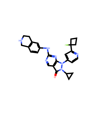 O=c1c2cnc(Nc3ccc4c(c3)CCNC4)nc2n(-c2ccnc(C3(F)CCC3)c2)n1C1CC1